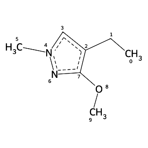 CCc1cn(C)nc1OC